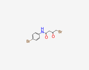 O=C(CBr)CC(=O)Nc1ccc(Br)cc1